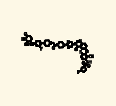 N#Cc1c(NS(=O)(=O)N2CC[C@@H](F)C2)ccc(F)c1Oc1ccc2ncn(-c3cnc(N4CCN(C(=O)CN5CCC(c6ccc(N[C@H]7CCC(=O)NC7=O)cc6F)CC5)CC4)nc3)c(=O)c2c1